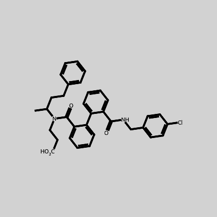 CC(CCc1ccccc1)N(CCC(=O)O)C(=O)c1ccccc1-c1ccccc1C(=O)NCc1ccc(Cl)cc1